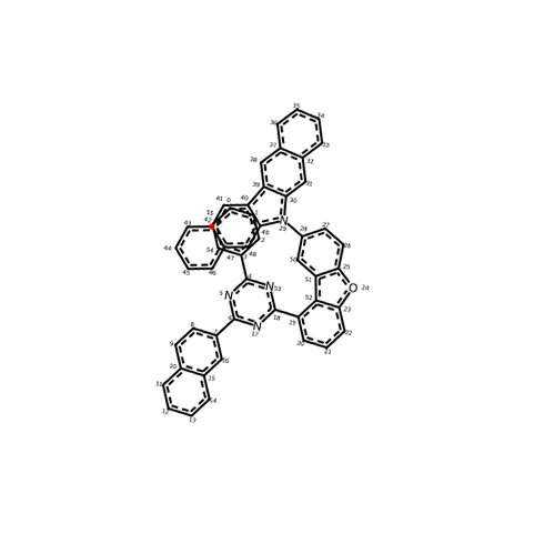 c1ccc(-c2nc(-c3ccc4ccccc4c3)nc(-c3cccc4oc5ccc(-n6c7cc8ccccc8cc7c7cc8ccccc8cc76)cc5c34)n2)cc1